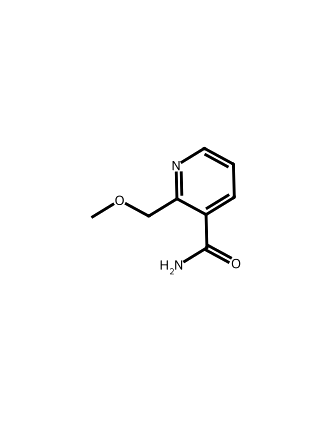 COCc1ncccc1C(N)=O